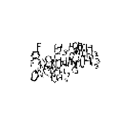 CC(=O)N(CCCNC(=O)[C@H](C)N(C(=O)O)C(C)(C)C)[C@@H](c1nc(-c2cc(F)ccc2F)cn1Cc1ccccc1)C(C)(C)C